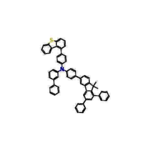 CC1(C)c2ccc(-c3ccc(N(c4ccc(-c5cccc6sc7ccccc7c56)cc4)c4cccc(-c5ccccc5)c4)cc3)cc2-c2cc(-c3ccccc3)cc(-c3ccccc3)c21